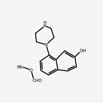 CC(C)(C)OC=O.Oc1ccc2cccc(N3CCNCC3)c2c1